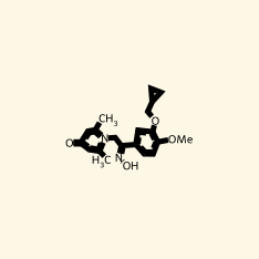 COc1ccc(C(Cn2c(C)cc(=O)cc2C)=NO)cc1OCC1CC1